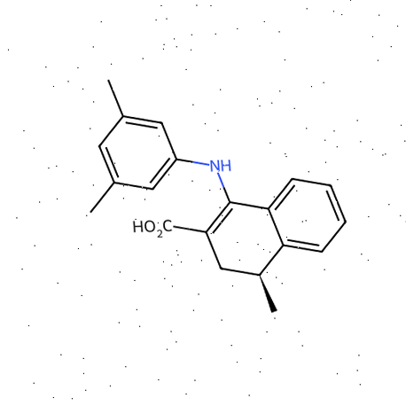 Cc1cc(C)cc(NC2=C(C(=O)O)C[C@H](C)c3ccccc32)c1